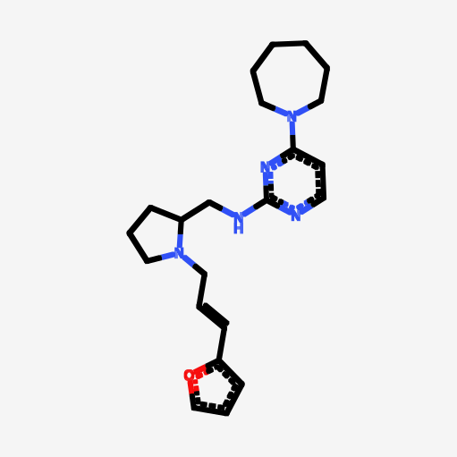 C(=C\c1ccco1)/CN1CCCC1CNc1nccc(N2CCCCCC2)n1